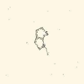 C=Cn1ccc2ccsc21